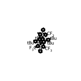 Cc1cc2c3c(c1)N(c1ccccc1)c1cc(C(F)(F)F)ccc1B3c1cc3c(-c4c(C(C)(C)C)cc(C(C)(C)C)cc4C(C)(C)C)cc4c5c(cc6c(-c7c(C(C)(C)C)cc(C(C)(C)C)cc7C(C)(C)C)cc-2c1c6c35)B1c2ccc(C(F)(F)F)cc2N(c2ccccc2)c2cc(C(F)(F)F)cc-4c21